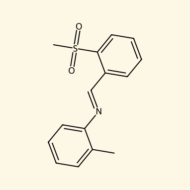 Cc1ccccc1N=Cc1ccccc1S(C)(=O)=O